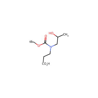 CC(O)CN(CCC(=O)O)C(=O)OC(C)(C)C